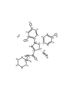 C[N+]1(NC(=O)C2=NN(c3ccc(Cl)cc3Cl)[C@H](c3ccc(Cl)cc3)[C@@H]2C#N)CCCCC1.[I-]